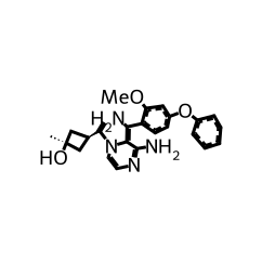 C=C([C@H]1C[C@@](C)(O)C1)N1C=CN=C(N)/C1=C(/N)c1ccc(Oc2ccccc2)cc1OC